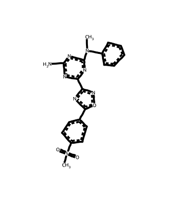 CN(c1ccccc1)c1nc(N)nc(-c2noc(-c3ccc(S(C)(=O)=O)cc3)n2)n1